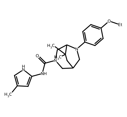 CCOc1ccc(N2CC3CN(C(=O)Nc4cc(C)c[nH]4)CC2C(C)(C)C3)cc1